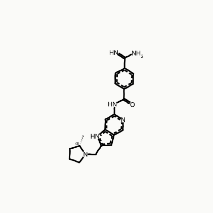 C[C@H]1CCCN1Cc1cc2cnc(NC(=O)c3ccc(C(=N)N)cc3)cc2[nH]1